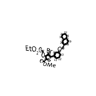 CCOC(=O)COc1c(C(=O)OC)sc(-c2cccc(OCc3ccc4ccccc4c3)c2)c1Br